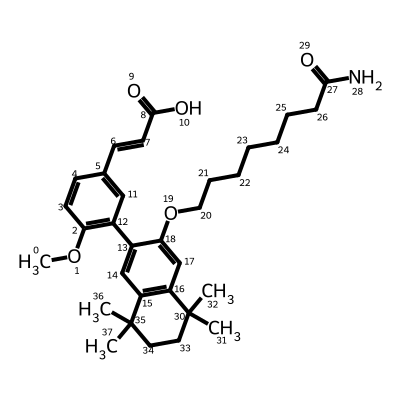 COc1ccc(C=CC(=O)O)cc1-c1cc2c(cc1OCCCCCCCC(N)=O)C(C)(C)CCC2(C)C